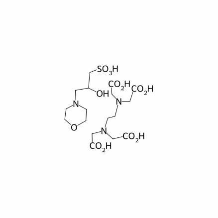 O=C(O)CN(CCN(CC(=O)O)CC(=O)O)CC(=O)O.O=S(=O)(O)CC(O)CN1CCOCC1